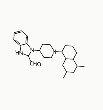 CC1CC(C)C2CCCC(N3CCC(N4c5ccccc5NC4C=O)CC3)C2C1